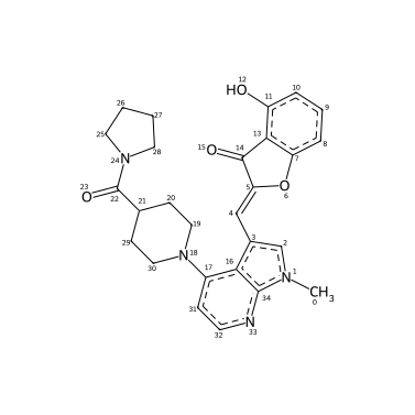 Cn1cc(C=C2Oc3cccc(O)c3C2=O)c2c(N3CCC(C(=O)N4CCCC4)CC3)ccnc21